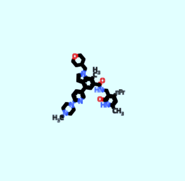 CCCc1cc(C)[nH]c(=O)c1CNC(=O)c1cc(-c2ccc(N3CCN(C)CC3)nc2)c2ccn(CC3CCOCC3)c2c1C